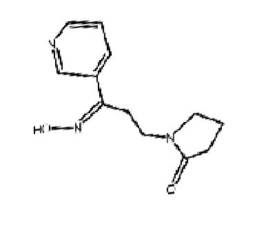 O=C1CCCN1CC/C(=N/O)c1cccnc1